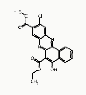 CCOC(=O)c1c(O)c2ccccc2c2nc3cc(Cl)c(C(=O)OC)cc3nc12